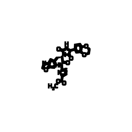 COC(=O)c1csc(NC(=O)[C@H](Cc2ccc3ocnc3c2)N2C(=O)NC(c3ccc4c(c3)OCCO4)C2=O)n1